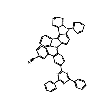 N#Cc1cccc(-c2cc(-c3nc(-c4ccccc4)nc(-c4ccccc4)n3)ccc2-n2c3ccccc3c3c4c5ccccc5n(-c5ccccc5)c4ccc32)c1